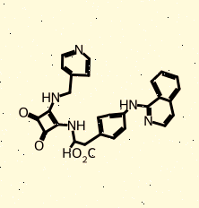 O=C(O)C(Cc1ccc(Nc2nccc3ccccc23)cc1)Nc1c(NCc2ccncc2)c(=O)c1=O